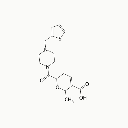 CC1OC(C(=O)N2CCN(Cc3cccs3)CC2)CC=C1C(=O)O